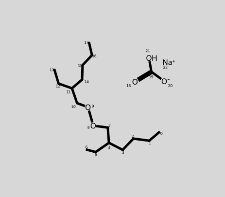 CCCCC(CC)COOCC(CC)CCCC.O=C([O-])O.[Na+]